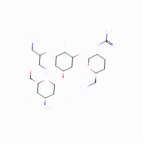 N=C(N)N[C@@H]1CC[C@@H](CN)O[C@@H]1OC1[C@@H](N)C[C@@H](NCC(O)CN)[C@H](O[C@H]2O[C@H](CO)[C@@H](O)[C@H](N)[C@H]2O)[C@H]1O